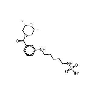 CC(C)S(=O)(=O)NCCCCCNc1cccc(C(=O)N2C[C@@H](C)O[C@@H](C)C2)c1